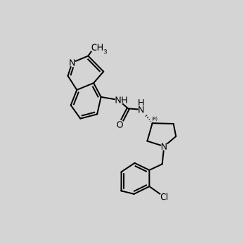 Cc1cc2c(NC(=O)N[C@@H]3CCN(Cc4ccccc4Cl)C3)cccc2cn1